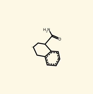 NC(=O)C1C[C]Cc2ccccc21